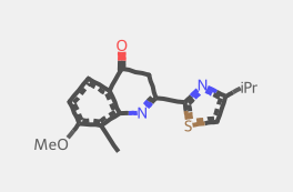 COc1ccc2c(c1C)N=C(c1nc(C(C)C)cs1)CC2=O